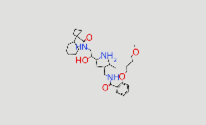 COCCCCOc1ccccc1C(=O)NCC(CC(N)C(O)CNC(=O)C1(C2CCCCC2)CCC1)C(C)C